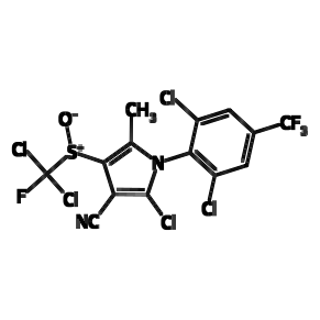 Cc1c([S+]([O-])C(F)(Cl)Cl)c(C#N)c(Cl)n1-c1c(Cl)cc(C(F)(F)F)cc1Cl